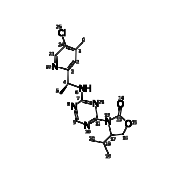 Cc1cc([C@H](C)Nc2ncnc(N3C(=O)OCC3C(C)C)n2)ncc1Cl